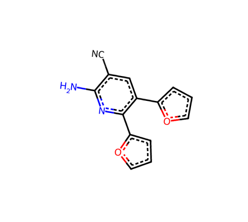 N#Cc1cc(-c2ccco2)c(-c2ccco2)nc1N